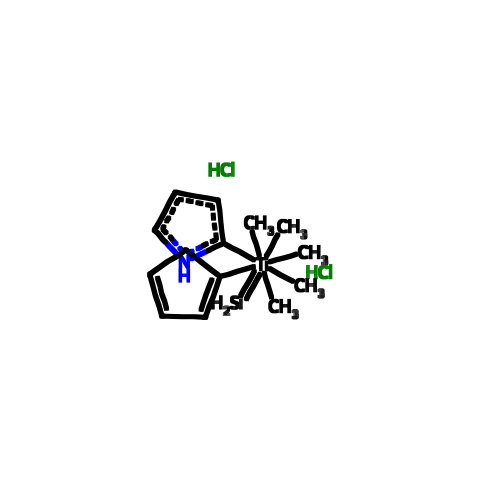 Cl.Cl.[CH3][Ti]([CH3])([CH3])([CH3])([CH3])(=[SiH2])([C]1=CC=CC1)[c]1ccc[nH]1